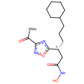 CNC(=O)c1noc([C@H](CCCC2CCCCC2)CC(=O)NO)n1